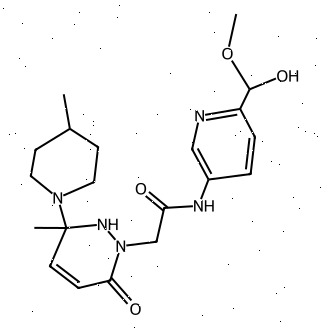 COC(O)c1ccc(NC(=O)CN2NC(C)(N3CCC(C)CC3)C=CC2=O)cn1